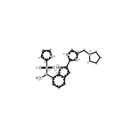 CN(c1cccc2cc(-c3ncc(CN4CCCC4)s3)[nH]c12)S(=O)(=O)c1cccs1